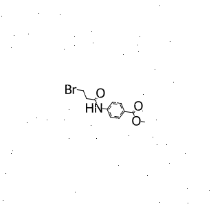 COC(=O)c1ccc(NC(=O)CCBr)cc1